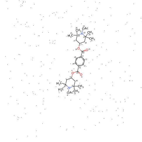 CC(=O)ON1C(C)(C)CC(OC(=O)c2ccc(C(=O)OC3CC(C)(C)N(OC(C)=O)C(C)(C)C3)cc2)CC1(C)C